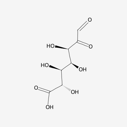 O=CC(=O)[C@H](O)[C@@H](O)[C@H](O)[C@H](O)C(=O)O